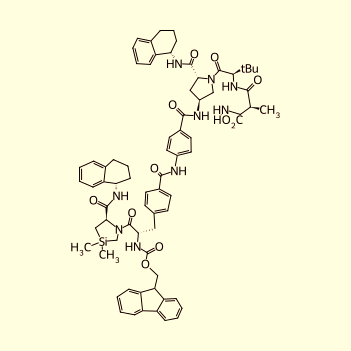 C[C@@H](CNC(=O)O)C(=O)N[C@@H](C(=O)N1C[C@@H](NC(=O)c2ccc(NC(=O)c3ccc(C[C@H](NC(=O)OCC4c5ccccc5-c5ccccc54)C(=O)N4C[Si](C)(C)C[C@H]4C(=O)N[C@H]4CCCc5ccccc54)cc3)cc2)C[C@@H]1C(=O)N[C@H]1CCCc2ccccc21)C(C)(C)C